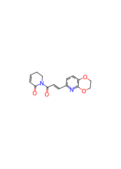 O=C1C=CCCN1C(=O)C=Cc1ccc2c(n1)OCCO2